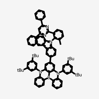 Cc1cccc(-c2nc(-c3ccccc3)cc(-c3ccccc3)n2)c1-n1c2ccccc2c2cc(-c3cc4c5c(c3)N(c3cc(C(C)(C)C)cc(C(C)(C)C)c3)c3ccccc3B5c3ccccc3N4c3cc(C(C)(C)C)cc(C(C)(C)C)c3)ccc21